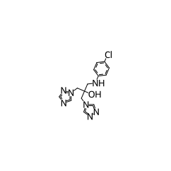 OC(CNc1ccc(Cl)cc1)(Cn1cnnc1)Cn1cncn1